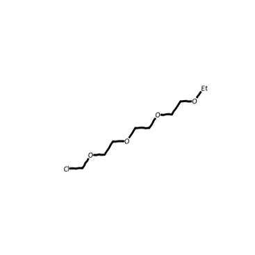 CCOCCOCCOCCOCCl